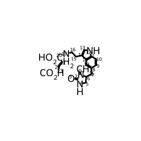 CN1C(=O)NCC1Cc1ccc2[nH]cc(CCN)c2c1.O=C(O)C=CC(=O)O